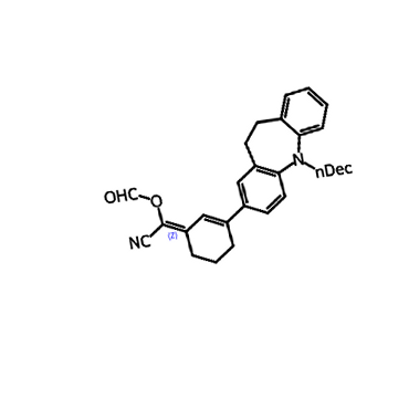 CCCCCCCCCCN1c2ccccc2CCc2cc(C3=C/C(=C(/C#N)OC=O)CCC3)ccc21